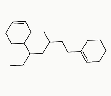 C[CH]C(CC(C)CCC1=CCCCC1)C1CC=CCC1